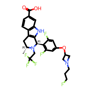 C[C@@H]1Cc2c([nH]c3cc(C(=O)O)ccc23)[C@@H](c2c(F)cc(OC3CN(CCCF)C3)cc2F)N1CC(F)(F)F